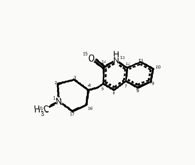 CN1CCC(c2cc3ccccc3[nH]c2=O)CC1